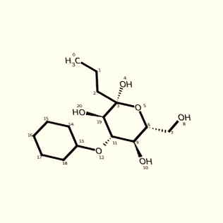 CCC[C@@]1(O)O[C@H](CO)[C@@H](O)[C@H](OC2CCCCC2)[C@H]1O